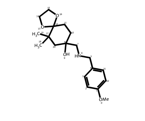 COc1ccc(CNCC2(O)CCC3(OCCO3)C(C)(C)C2)cc1